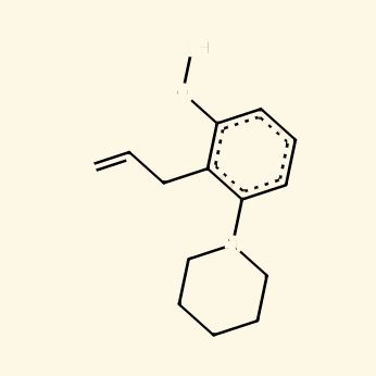 COc1cccc(N2CCCCC2)c1CC=O